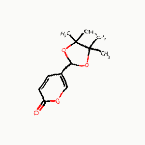 CC1(C)OC(c2ccc(=O)oc2)OC1(C)C